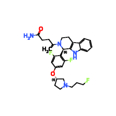 C=C(CCC(N)=O)N1CCc2c([nH]c3ccccc23)[C@H]1c1c(F)cc(O[C@H]2CCN(CCCF)C2)cc1F